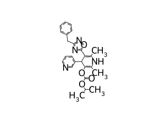 CC1=C(OC(=O)OC(C)C)C(c2cccnc2)C(c2nc(Cc3ccccc3)no2)=C(C)N1